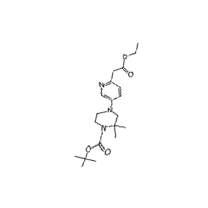 CCOC(=O)Cc1ccc(N2CCN(C(=O)OC(C)(C)C)C(C)(C)C2)cn1